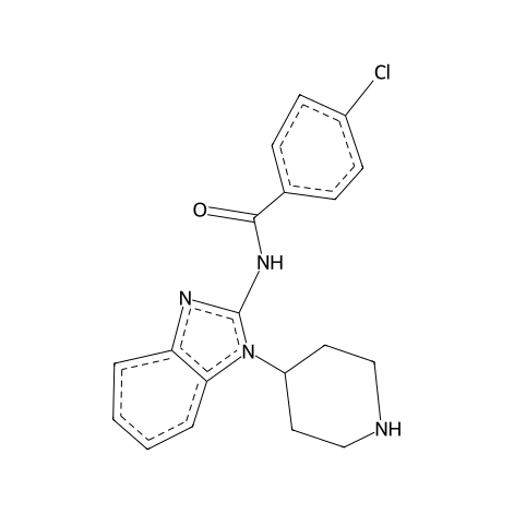 O=C(Nc1nc2ccccc2n1C1CCNCC1)c1ccc(Cl)cc1